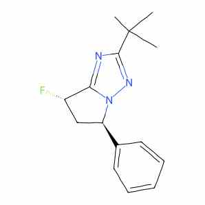 CC(C)(C)c1nc2n(n1)[C@@H](c1ccccc1)C[C@@H]2F